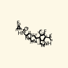 CCc1c(F)c(C(C)C)c2[nH]ncc2c1-c1cn2cc(NC(=O)[C@@H]3C[C@@H]3F)nc2cn1